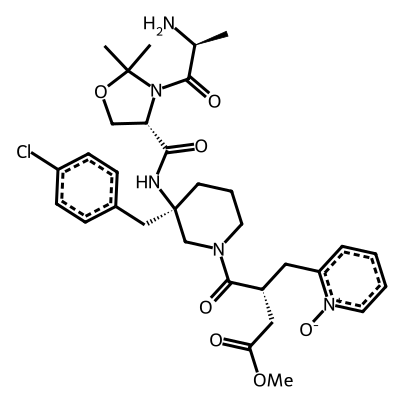 COC(=O)C[C@@H](Cc1cccc[n+]1[O-])C(=O)N1CCC[C@](Cc2ccc(Cl)cc2)(NC(=O)[C@@H]2COC(C)(C)N2C(=O)[C@H](C)N)C1